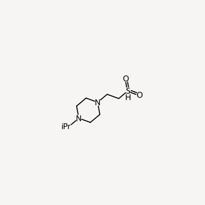 CC(C)N1CCN(CC[SH](=O)=O)CC1